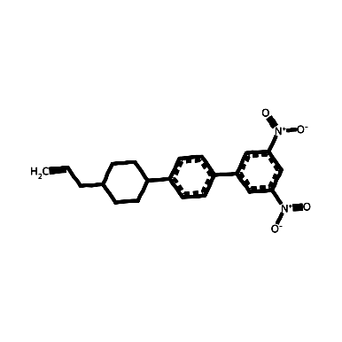 C=CCC1CCC(c2ccc(-c3cc([N+](=O)[O-])cc([N+](=O)[O-])c3)cc2)CC1